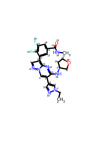 CCn1cc(-c2cn3ncc(-c4cc(C(=O)NC)cc(F)c4F)c3nc2N[C@H]2CCOC2)cn1